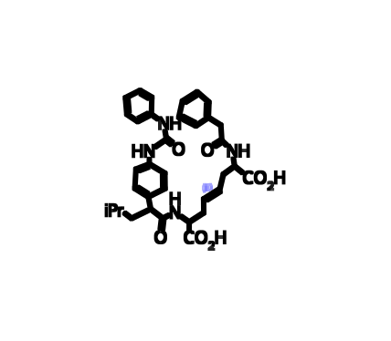 CC(C)CC(C(=O)NC(C/C=C/CC(NC(=O)Cc1ccccc1)C(=O)O)C(=O)O)c1ccc(NC(=O)Nc2ccccc2)cc1